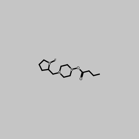 CCCC(=O)ON1CCN(CC2CCCN2F)CC1